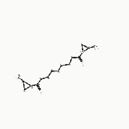 CC1CN1C(=O)CCCCCCCC(=O)N1CC1C